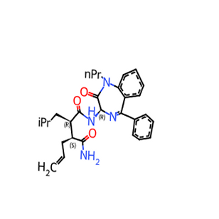 C=CC[C@H](C(N)=O)[C@@H](CC(C)C)C(=O)N[C@@H]1N=C(c2ccccc2)c2ccccc2N(CCC)C1=O